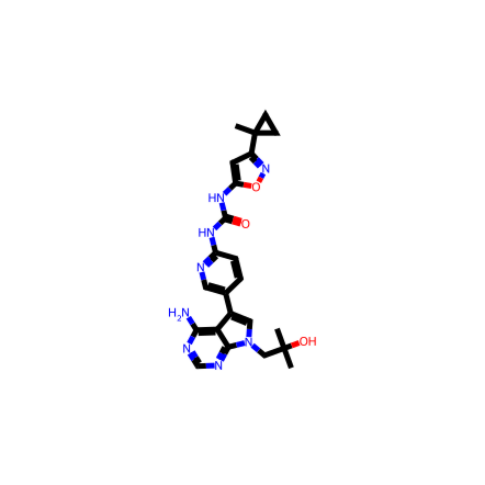 CC(C)(O)Cn1cc(-c2ccc(NC(=O)Nc3cc(C4(C)CC4)no3)nc2)c2c(N)ncnc21